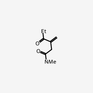 C=C(CC(=O)NC)C(=O)CC